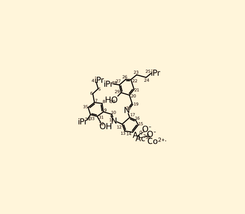 CC(=O)[O-].CC(=O)[O-].CC(C)CCc1cc(C=Nc2ccccc2N=Cc2cc(CCC(C)C)cc(C(C)C)c2O)c(O)c(C(C)C)c1.[Co+2]